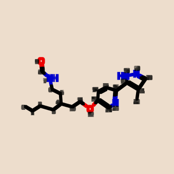 CCCCC(CCNC=O)CCOc1ccc(-c2[nH]ncc2C)nc1